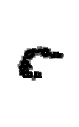 CCOC(=O)C(C)(C)Oc1c(C)cc(CN2CCN(CCCc3ccc(SC)cc3)CC2)cc1C